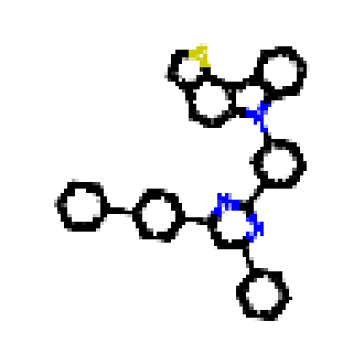 c1ccc(-c2ccc(-c3cc(-c4ccccc4)nc(-c4cccc(-n5c6ccccc6c6c7sccc7ccc65)c4)n3)cc2)cc1